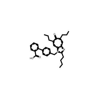 CCCCc1nc2cc(CCC)c(=O)c(CCC)cc2n1Cc1ccc(-c2ccccc2C(=O)O)cc1